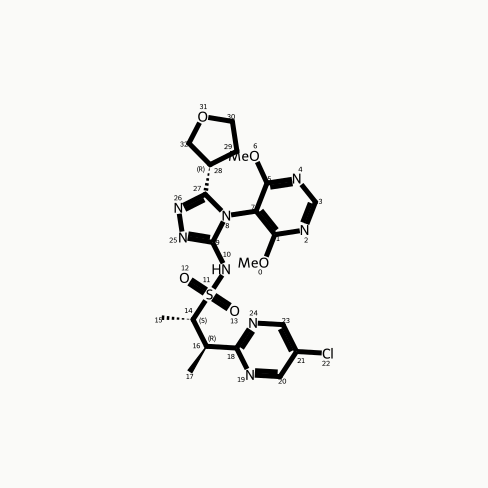 COc1ncnc(OC)c1-n1c(NS(=O)(=O)[C@@H](C)[C@H](C)c2ncc(Cl)cn2)nnc1[C@H]1CCOC1